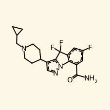 NC(=O)c1cc(F)cc2c1-n1ncc(C3CCN(CC4CC4)CC3)c1C2(F)F